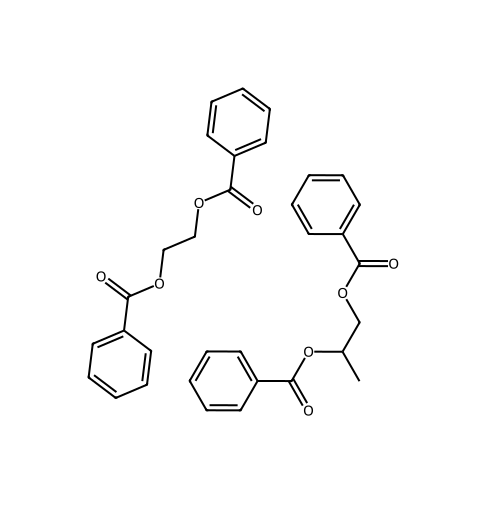 CC(COC(=O)c1ccccc1)OC(=O)c1ccccc1.O=C(OCCOC(=O)c1ccccc1)c1ccccc1